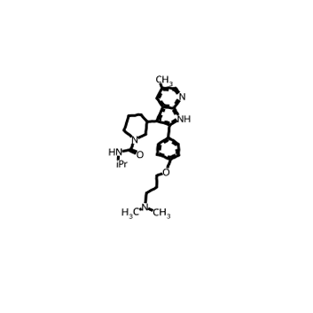 Cc1cnc2[nH]c(-c3ccc(OCCCN(C)C)cc3)c(C3CCCN(C(=O)NC(C)C)C3)c2c1